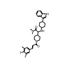 Cc1cc(/C=C/C(=O)N2CCC(C(NC3CCC(c4c[nH]c5ccccc45)CC3)C(=O)N(C)C)CC2)cc(F)c1F